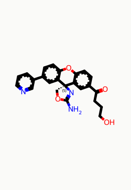 NC1=N[C@]2(CO1)c1cc(C(=O)CCCO)ccc1Oc1ccc(-c3cccnc3)cc12